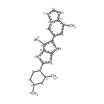 Cc1cc(-c2[nH]c3sc(N4CCN(C)CC4C)nc3c2C(C)C)cn2ncnc12